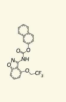 O=C(Nc1noc2cccc(OCC(F)(F)F)c12)Oc1ccc2ccccc2c1